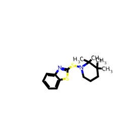 CC1(C)CCCN(Sc2nc3ccccc3s2)C1(C)C